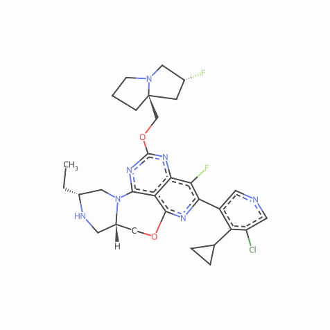 CC[C@@H]1CN2c3nc(OC[C@@]45CCCN4C[C@H](F)C5)nc4c(F)c(-c5cncc(Cl)c5C5CC5)nc(c34)OC[C@@H]2CN1